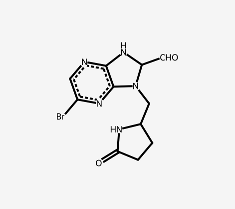 O=CC1Nc2ncc(Br)nc2N1CC1CCC(=O)N1